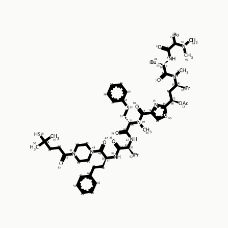 CCC(C)C(C(=O)N[C@H](C(=O)N(C)[C@H](C[C@@H](OC(C)=O)c1nc(C(=O)N(C)[C@@H](CSc2ccccc2)C(=O)N[C@H](C(=O)N[C@@H](CCc2ccccc2)C(=O)N2CCN(C(=O)CCC(C)(C)S)CC2)C(C)C)cs1)C(C)C)[C@@H](C)CC)N(C)C